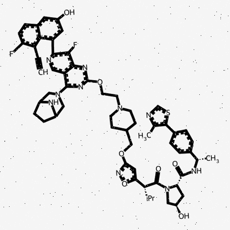 C#Cc1c(F)ccc2cc(O)cc(-c3ncc4c(N5CC6CCC(C5)N6)nc(OCCN5CCC(COc6cc([C@H](C(=O)N7C[C@H](O)C[C@H]7C(=O)N[C@@H](C)c7ccc(-c8scnc8C)cc7)C(C)C)on6)CC5)nc4c3F)c12